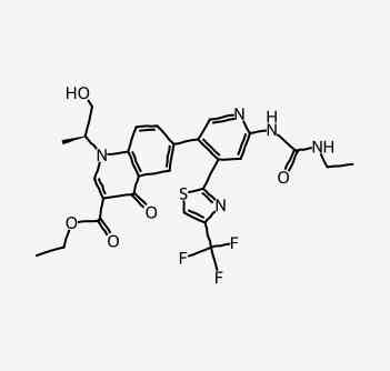 CCNC(=O)Nc1cc(-c2nc(C(F)(F)F)cs2)c(-c2ccc3c(c2)c(=O)c(C(=O)OCC)cn3[C@@H](C)CO)cn1